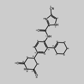 N#Cc1c[nH]c(C(=O)Nc2ccc(C3CC(=O)NC(=O)C3)cc2C2=CCCCC2)n1